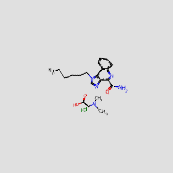 CCCCCCn1cnc2c(C(N)=O)nc3ccccc3c21.CN(C)CC(=O)O.Cl